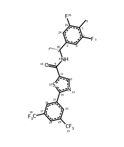 Cc1c(F)cc([C@@H](C)NC(=O)c2cnc(-c3cc(C(F)(F)F)cc(C(F)(F)F)c3)s2)cc1F